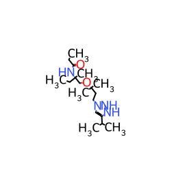 CCC(=O)NC(C)(CC)COC(C)(C)CCN1C=C(C(C)C)NN1